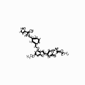 COc1cc(OCc2cccc(NC(=O)c3ccno3)c2)c2cc(-c3cn4nc(OC)sc4n3)oc2c1